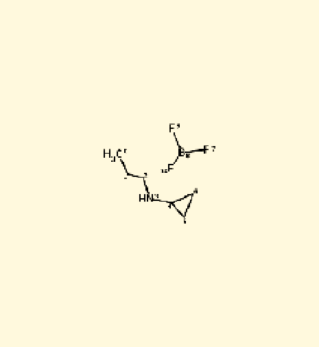 CCCNC1CC1.FB(F)F